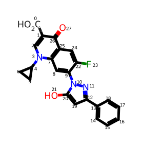 O=C(O)c1cn(C2CC2)c2cc(-n3nc(-c4ccccc4)cc3O)c(F)cc2c1=O